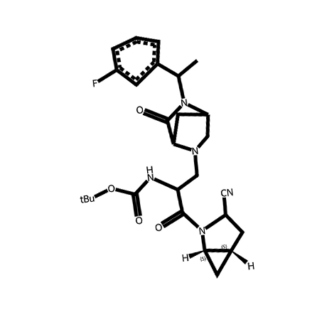 CC(c1cccc(F)c1)N1C(=O)C2CC1CN2CC(NC(=O)OC(C)(C)C)C(=O)N1C(C#N)C[C@@H]2C[C@@H]21